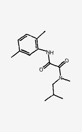 Cc1ccc(C)c(NC(=O)C(=O)N(C)CC(C)C)c1